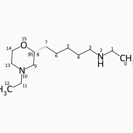 CCNCCCCC[C@@H]1CN(CC)CCO1